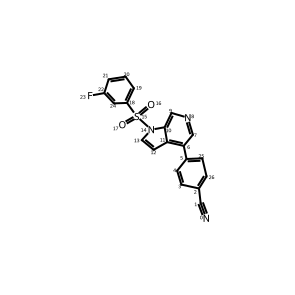 N#Cc1ccc(-c2cncc3c2ccn3S(=O)(=O)c2cccc(F)c2)cc1